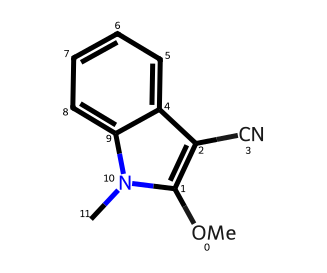 COc1c(C#N)c2ccccc2n1C